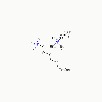 CCCCCCCCCCCCCCCC[N+](C)(C)C.CC[N+](CC)(CC)CC.[BH4-].[BH4-]